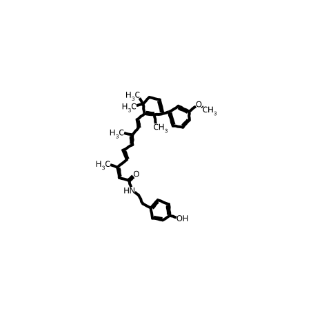 COc1cccc(C2=CCC(C)(C)C(/C=C/C(C)=C/C=C/C(C)=C\C(=O)NCCc3ccc(O)cc3)=C2C)c1